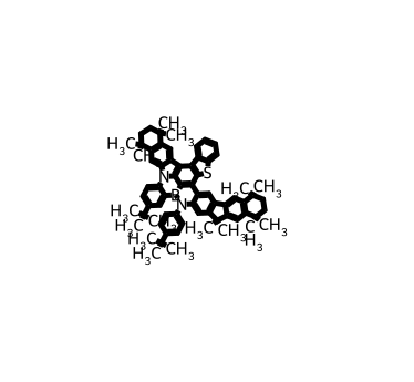 CC(C)(C)c1ccc(N2B3c4cc(C(C)(C)C)ccc4-n4c5cc6c(cc5c5c7c(sc8ccccc87)c(c3c54)-c3cc4c(cc32)C(C)(C)c2cc3c(cc2-4)C(C)(C)CCC3(C)C)C(C)(C)CCC6(C)C)cc1